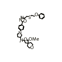 COC(=O)C1(CCN(C)C2CCN(c3ccc(-c4nnc(CSCCOc5ccccc5)o4)cc3)C2)CCOCC1